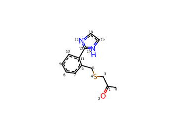 CC(=O)CSCc1ccccc1-c1ncc[nH]1